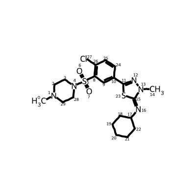 CN1CCN(S(=O)(=O)c2cc(-c3nn(C)c(=NC4CCCCC4)s3)ccc2Cl)CC1